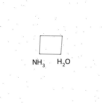 C1CCC1.N.O